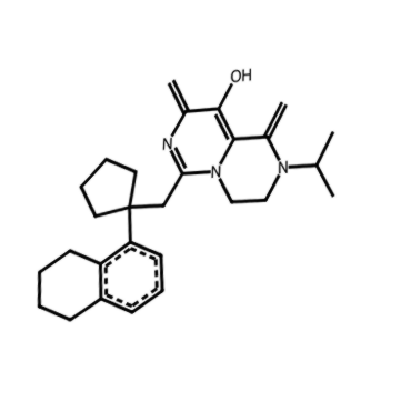 C=C1N=C(CC2(c3cccc4c3CCCC4)CCCC2)N2CCN(C(C)C)C(=C)C2=C1O